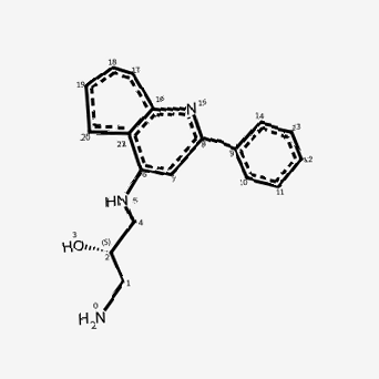 NC[C@H](O)CNc1cc(-c2ccccc2)nc2ccccc12